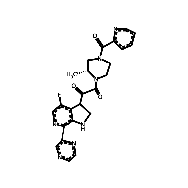 C[C@@H]1CN(C(=O)c2ccccn2)CCN1C(=O)C(=O)C1CNc2c(-c3cnccn3)ncc(F)c21